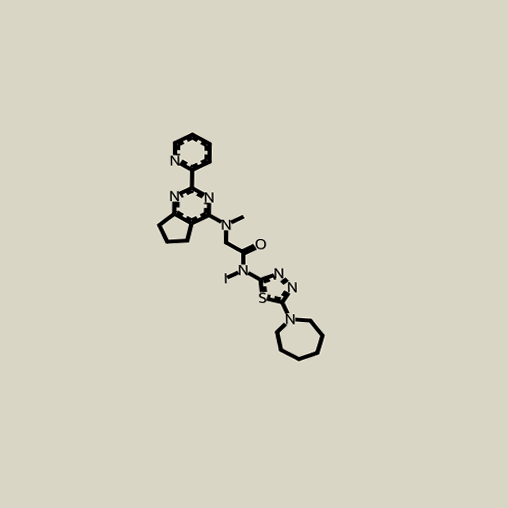 CN(CC(=O)N(I)c1nnc(N2CCCCCC2)s1)c1nc(-c2ccccn2)nc2c1CCC2